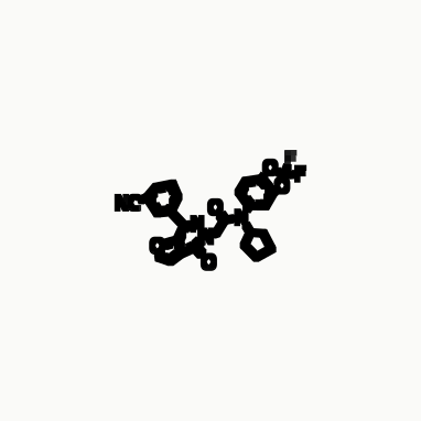 N#Cc1cccc(-c2nn(CC(=O)N(c3ccc4c(c3)OC(F)(F)O4)C3CCCC3)c(=O)c3ccoc23)c1